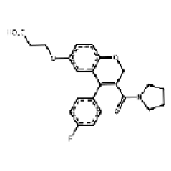 O=C(O)CCOc1ccc2c(c1)C(c1ccc(F)cc1)=C(C(=O)N1CCCC1)CO2